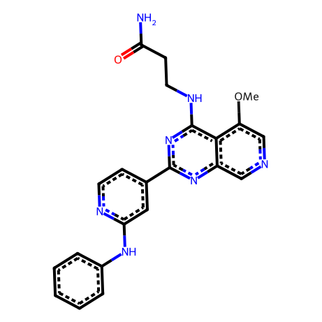 COc1cncc2nc(-c3ccnc(Nc4ccccc4)c3)nc(NCCC(N)=O)c12